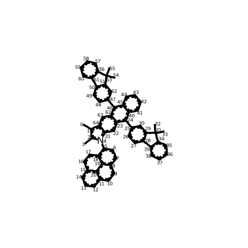 Cc1c(C)n(-c2ccc3ccc4cccc5ccc2c3c45)c2cc3c(-c4ccc5c(c4)C(C)(C)c4ccccc4-5)c4ccccc4c(-c4ccc5c(c4)C(C)(C)c4ccccc4-5)c3cc12